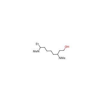 CCC(CCCCC(CCO)NC)NC